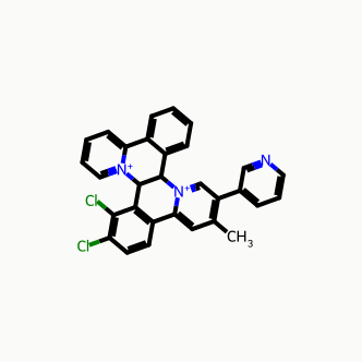 Cc1cc2[n+](cc1-c1cccnc1)C1c3ccccc3-c3cccc[n+]3C1c1c-2ccc(Cl)c1Cl